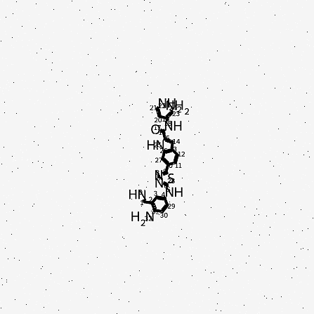 N=Cc1cc(Nc2nnc(-c3ccc4cc(C(=O)NC(/C=C\N)=C/N)[nH]c4c3)s2)ccc1N